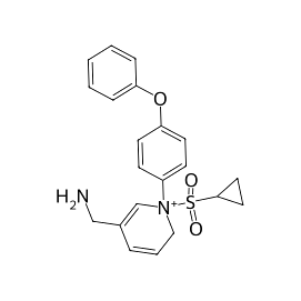 NCC1=C[N+](c2ccc(Oc3ccccc3)cc2)(S(=O)(=O)C2CC2)CC=C1